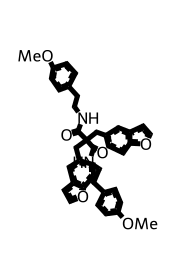 COc1ccc(CCNC(=O)C(Cc2ccc3occc3c2)(Cc2ccc3occc3c2)C(=O)NCCc2ccc(OC)cc2)cc1